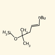 CCCCC=CCC(C)(C)O[SiH3]